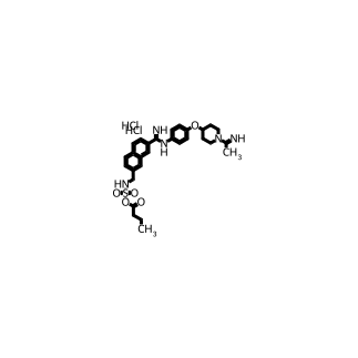 CCCC(=O)OS(=O)(=O)NCc1ccc2ccc(C(=N)Nc3ccc(OC4CCN(C(C)=N)CC4)cc3)cc2c1.Cl.Cl